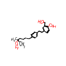 CC(C)(O)CCCCc1ccc(C=Cc2ccc(O)c(CO)c2)cc1